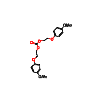 COc1ccc(OCCOC(=O)OCCOc2ccc(OC)cc2)cc1